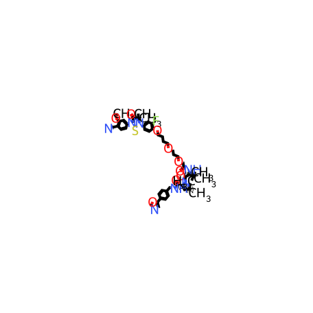 COc1cc(N2C(=O)C(C)(C)N(c3ccc(OCCCCOCCCOCC(=O)N[C@H](C(=O)N4C[C@H](C)C[C@H]4C(=O)NCc4ccc(-c5cnco5)cc4)C(C)(C)C)c(F)c3)C2=S)ccc1C#N